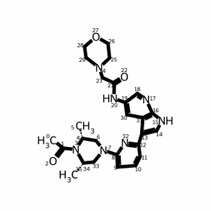 CC(=O)N1[C@H](C)CN(c2cccc(-c3c[nH]c4ncc(NC(=O)CN5CCOCC5)cc34)n2)C[C@@H]1C